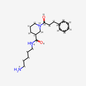 NCCCCCNC(=O)C1CCCN(C(=O)CCc2ccccc2)C1